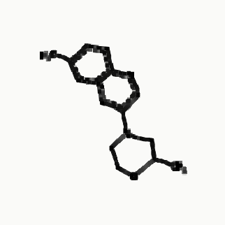 Cc1ccc2ncc(N3CCOC(C)C3)cc2c1